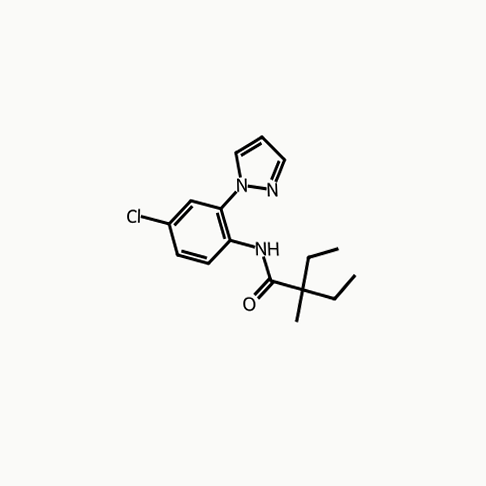 CCC(C)(CC)C(=O)Nc1ccc(Cl)cc1-n1cccn1